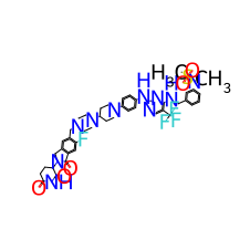 CN(c1cccc(CNc2nc(Nc3ccc(N4CCC(N5CCN(Cc6cc7c(cc6F)C(=O)N(C6CCC(=O)NC6=O)C7)CC5)CC4)cc3)ncc2C(F)(F)F)c1)S(C)(=O)=O